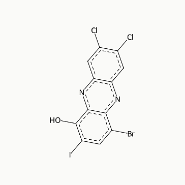 Oc1c(I)cc(Br)c2nc3cc(Cl)c(Cl)cc3nc12